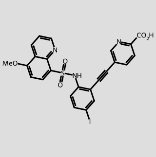 COc1ccc(S(=O)(=O)Nc2ccc(I)cc2C#Cc2ccc(C(=O)O)nc2)c2ncccc12